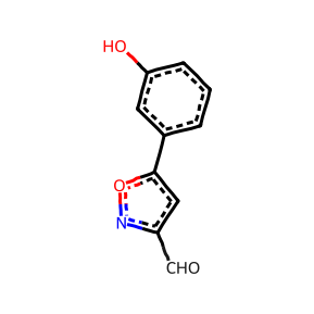 O=Cc1cc(-c2cccc(O)c2)on1